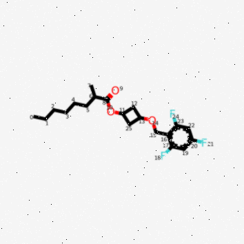 CCCCCCC(C)C(=O)OC1CC(OCc2c(F)cc(F)cc2F)C1